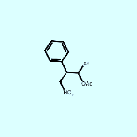 CC(=O)OC(C(C)=O)[C@@H](C[N+](=O)[O-])c1ccccc1